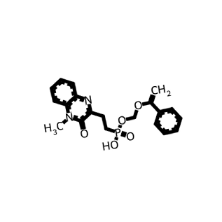 C=C(OCOP(=O)(O)CCc1nc2ccccc2n(C)c1=O)c1ccccc1